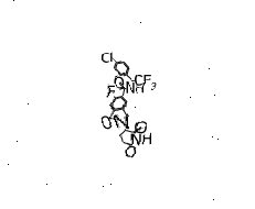 O=C1CCC(N2Cc3cc(C(=O)NC(c4ccc(Cl)cc4)C(F)(F)F)c(F)cc3C2=O)C(=O)N1